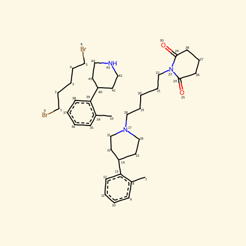 BrCCCCCBr.Cc1ccccc1C1CCN(CCCCCN2C(=O)CCCC2=O)CC1.Cc1ccccc1C1CCNCC1